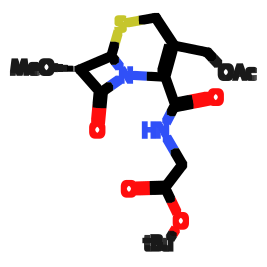 CO[C@H]1C(=O)N2C(C(=O)NCC(=O)OC(C)(C)C)=C(COC(C)=O)CSC12